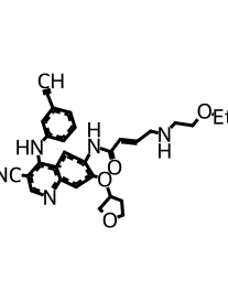 C#Cc1cccc(Nc2c(C#N)cnc3cc(OC4CCOC4)c(NC(=O)/C=C/CNCCOCC)cc23)c1